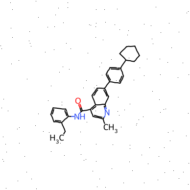 CCc1ccccc1NC(=O)c1cc(C)nc2cc(-c3ccc(C4CCCCC4)cc3)ccc12